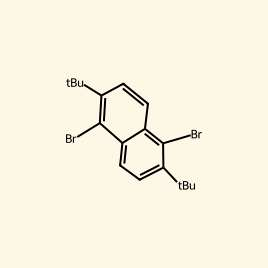 CC(C)(C)c1ccc2c(Br)c(C(C)(C)C)ccc2c1Br